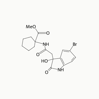 COC(=O)C1(NC(=O)CC2(O)C(=O)Nc3ccc(Br)cc32)CCCCC1